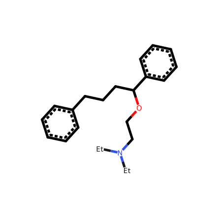 CCN(CC)CCOC(CCCc1ccccc1)c1ccccc1